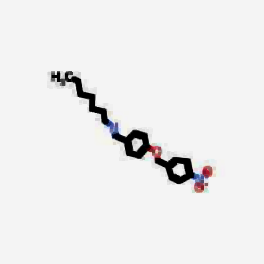 CCCCCCCN=Cc1ccc(OCc2ccc([N+](=O)[O-])cc2)cc1